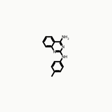 Cc1ccc(Nc2nc(N)c3ccccc3n2)cc1